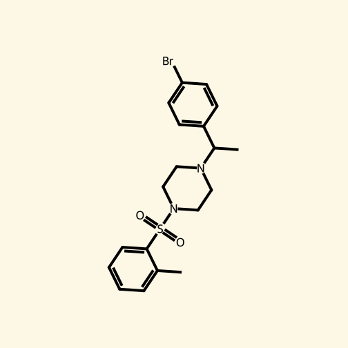 Cc1ccccc1S(=O)(=O)N1CCN(C(C)c2ccc(Br)cc2)CC1